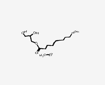 CCC.CCCCCCCCCCCCCCCCCC(=O)OCC(O)CO